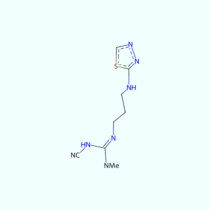 CNC(=NCCCNc1nncs1)NC#N